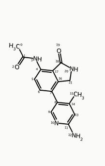 CC(=O)Nc1ccc(-c2cnc(N)cc2C)c2c1C(=O)NC2